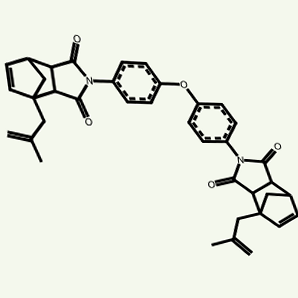 C=C(C)CC12C=CC(C1)C1C(=O)N(c3ccc(Oc4ccc(N5C(=O)C6C7C=CC(CC(=C)C)(C7)C6C5=O)cc4)cc3)C(=O)C12